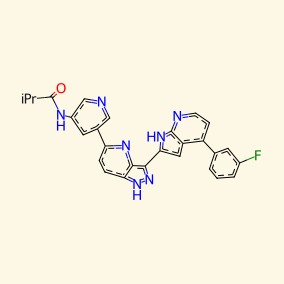 CC(C)C(=O)Nc1cncc(-c2ccc3[nH]nc(-c4cc5c(-c6cccc(F)c6)ccnc5[nH]4)c3n2)c1